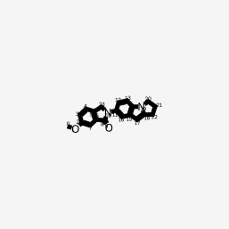 COc1ccc2c(c1)C(=O)N(c1ccc3c(c1)cc1n3CCC1)C2